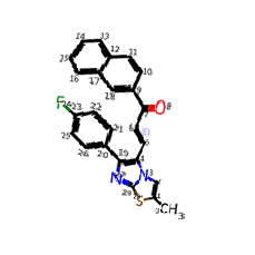 Cc1cn2c(/C=C/C(=O)c3ccc4ccccc4c3)c(-c3ccc(F)cc3)nc2s1